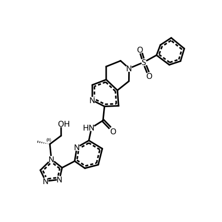 C[C@H](CO)n1cnnc1-c1cccc(NC(=O)c2cc3c(cn2)CCN(S(=O)(=O)c2ccccc2)C3)n1